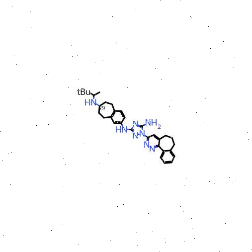 CC(N[C@H]1CCc2ccc(Nc3nc(N)n(-c4cc5c(nn4)-c4ccccc4CCC5)n3)cc2CC1)C(C)(C)C